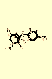 O=CN1C[C@@H]2CC[C@H]1[C@H](Nc1ncc(C(F)(F)F)cn1)C2